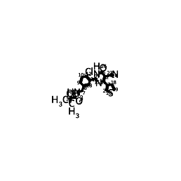 CC(C)(C)C(=O)NCc1ccc(Cl)c(-c2nc(-c3ccsc3)c(C#N)c(=O)[nH]2)c1